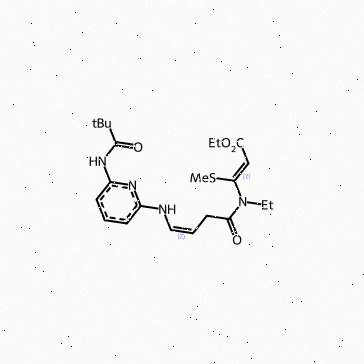 CCOC(=O)/C=C(\SC)N(CC)C(=O)C/C=C\Nc1cccc(NC(=O)C(C)(C)C)n1